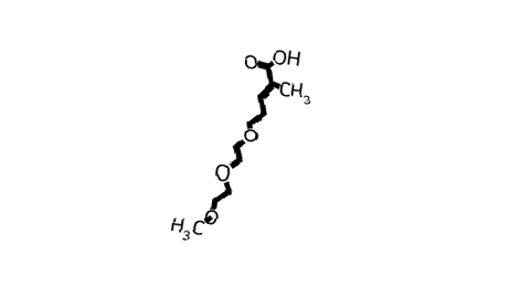 COCCOCCOCC/C=C(\C)C(=O)O